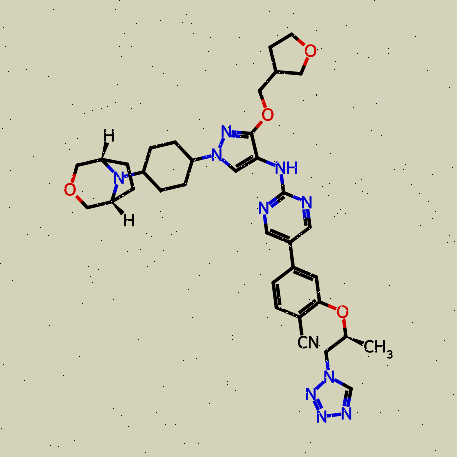 C[C@@H](Cn1cnnn1)Oc1cc(-c2cnc(Nc3cn(C4CCC(N5[C@@H]6CC[C@H]5COC6)CC4)nc3OCC3CCOC3)nc2)ccc1C#N